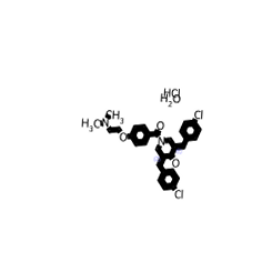 CN(C)CCOc1ccc(C(=O)N2C/C(=C/c3ccc(Cl)cc3)C(=O)/C(=C/c3ccc(Cl)cc3)C2)cc1.Cl.O